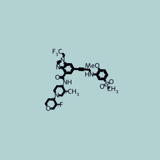 COc1ccc(S(C)(=O)=O)cc1NCC#Cc1cc(C(=O)N[C@H]2CCN([C@@H]3CCOC[C@@H]3F)C[C@@H]2C)c2ncn(CC(F)(F)F)c2c1